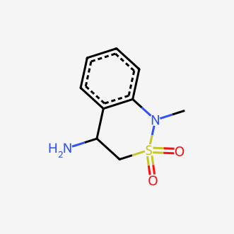 CN1c2ccccc2C(N)CS1(=O)=O